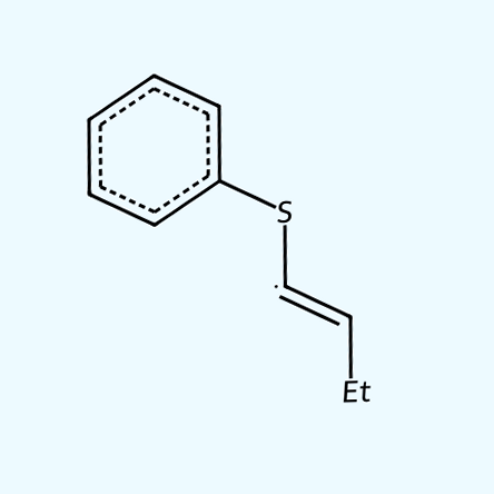 [CH2]CC=[C]Sc1ccccc1